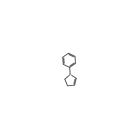 C1=CP(c2ccccc2)CC1